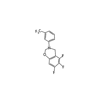 Fc1cc2c(c(F)c1F)CN(c1cccc(C(F)(F)F)c1)CO2